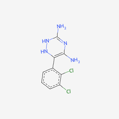 NC1=NC(N)=C(c2cccc(Cl)c2Cl)NN1